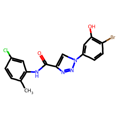 Cc1ccc(Cl)cc1NC(=O)c1cn(-c2ccc(Br)c(O)c2)nn1